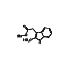 CC(C)(C)OC(=O)Cc1c(C(=O)O)[nH]c2ccccc12